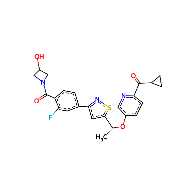 C[C@@H](Oc1ccc(C(=O)C2CC2)nc1)c1cc(-c2ccc(C(=O)N3CC(O)C3)c(F)c2)ns1